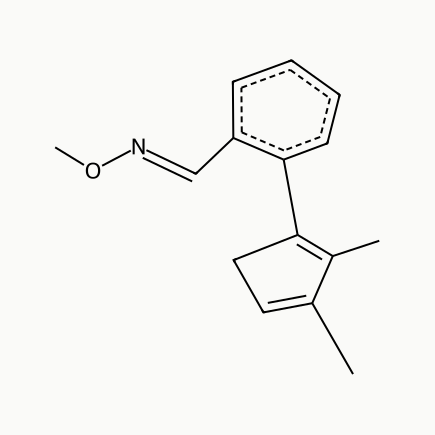 CON=Cc1ccccc1C1=C(C)C(C)=CC1